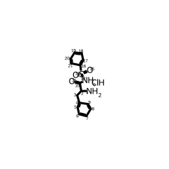 Cl.NC(Cc1ccccc1)C(=O)NS(=O)(=O)c1ccccc1